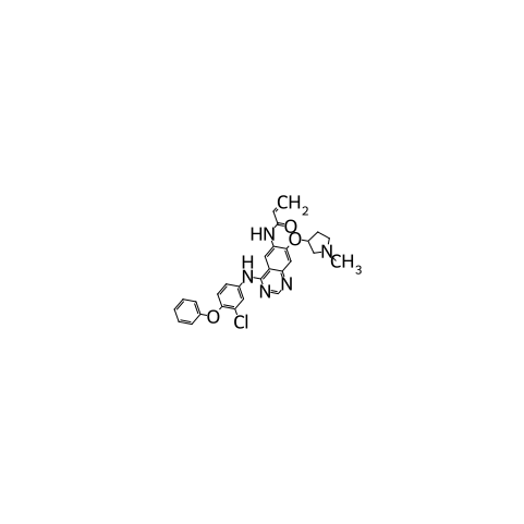 C=CC(=O)Nc1cc2c(Nc3ccc(Oc4ccccc4)c(Cl)c3)ncnc2cc1OC1CCN(C)C1